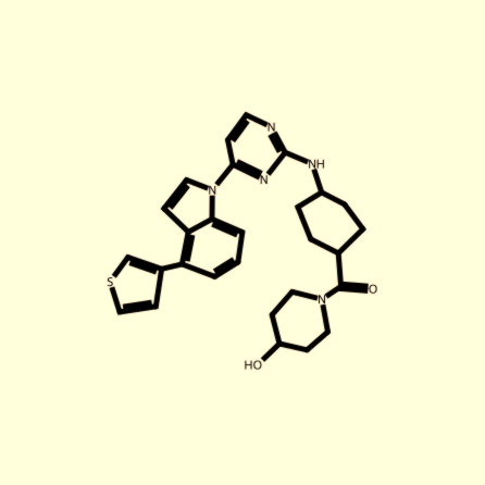 O=C(C1CCC(Nc2nccc(-n3ccc4c(-c5ccsc5)cccc43)n2)CC1)N1CCC(O)CC1